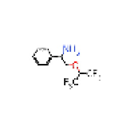 NC(COC(C(F)(F)F)C(F)(F)F)c1ccccc1